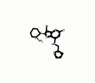 N[C@H]1CCCC[C@H]1c1oc2c(NCc3cccs3)cc(Cl)nc2c1Br